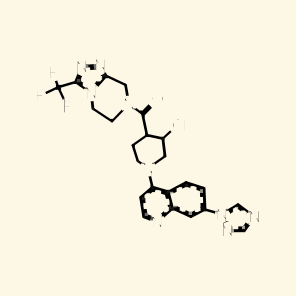 CC1CN(c2ccnc3cc(-n4cncn4)ccc23)CCC1C(=O)N1CCn2c(nnc2C(F)(F)F)C1